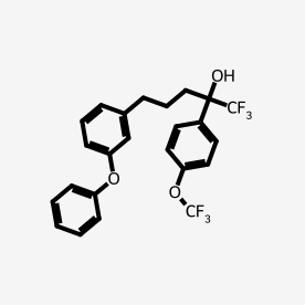 OC(CCCc1cccc(Oc2ccccc2)c1)(c1ccc(OC(F)(F)F)cc1)C(F)(F)F